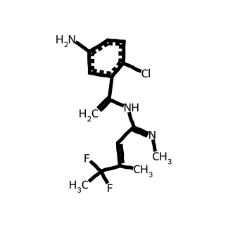 C=C(NC(/C=C(\C)C(C)(F)F)=N/C)c1cc(N)ccc1Cl